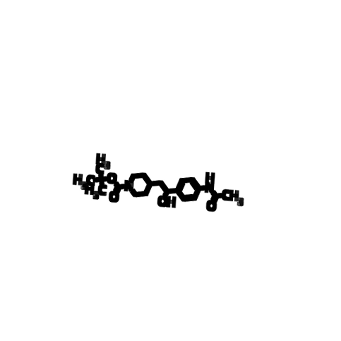 CC(=O)Nc1ccc(C(O)CC2CCN(C(=O)OC(C)(C)C)CC2)cc1